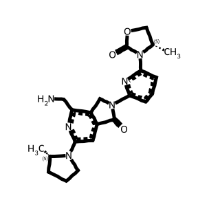 C[C@H]1CCCN1c1cc2c(c(CN)n1)CN(c1cccc(N3C(=O)OC[C@@H]3C)n1)C2=O